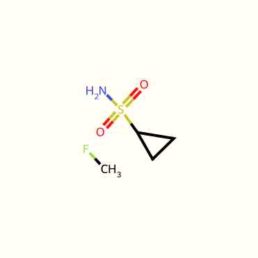 CF.NS(=O)(=O)C1CC1